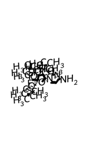 CC(C)(C)[Si](C)(C)OC[C@@]1(C(F)F)O[C@@H](n2ccc(N)nc2=O)CC1(O[Si](C)(C)C(C)(C)C)O[Si](C)(C)C(C)(C)C